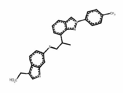 CC(CSc1ccc2c(CC(=O)O)csc2c1)c1cccc2cn(-c3ccc(C(F)(F)F)cc3)nc12